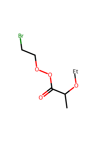 CCOC(C)C(=O)OOCCBr